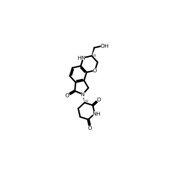 O=C1CC[C@H](N2Cc3c(ccc4c3OC[C@H](CO)N4)C2=O)C(=O)N1